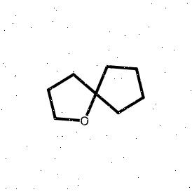 [CH]1CCOC12CCCC2